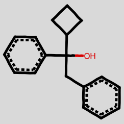 OC(Cc1ccccc1)(c1ccccc1)C1CCC1